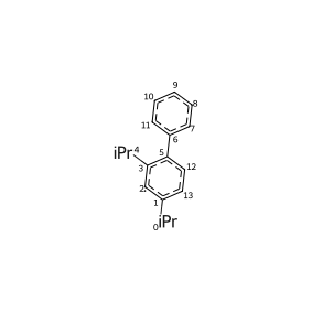 CC(C)c1[c]c(C(C)C)c(-c2ccccc2)cc1